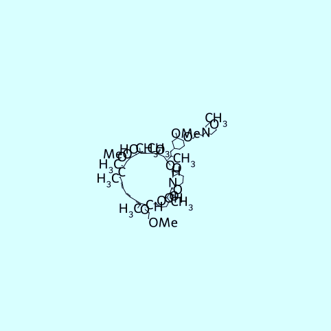 COCCO[C@H]1C[C@@H]2CC[C@@H](C)[C@@](O)(O2)C(=O)C(=O)N2CCCC[C@H]2C(=O)O[C@H](C(C)C[C@@H]2CC[C@@H](OCCCN3CCO[C@H](C)C3)[C@H](OC)C2)CC(=O)[C@H](C)/C=C(\C)[C@@H](O)[C@@H](OC)C(=O)[C@H](C)C[C@H](C)/C=C/C=C/C=C/1C